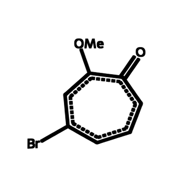 COc1cc(Br)cccc1=O